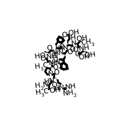 C[C@H](NC(=O)[C@@H]1CCCN1C(=O)[C@H](CCCNC(=N)N)NC(=O)[C@@H](N)[C@@H](C)O)C(=O)N[C@@H](CO)C(=O)N[C@@H](Cc1ccccc1)C(=O)N[C@@H](Cc1c[nH]c2ccccc12)C(=O)N[C@@H](CCC(=O)O)C(=O)N[C@H](C(=O)N[C@@H](CO)C(=O)O)[C@@H](C)O